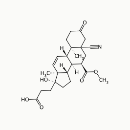 COC(=O)[C@@H]1CC2(C#N)CC(=O)CC[C@]2(C)[C@H]2C=C[C@@]3(C)[C@@H](CC[C@@]3(O)CCC(=O)O)[C@H]12